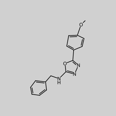 COc1ccc(-c2nnc(NCc3ccccc3)o2)cc1